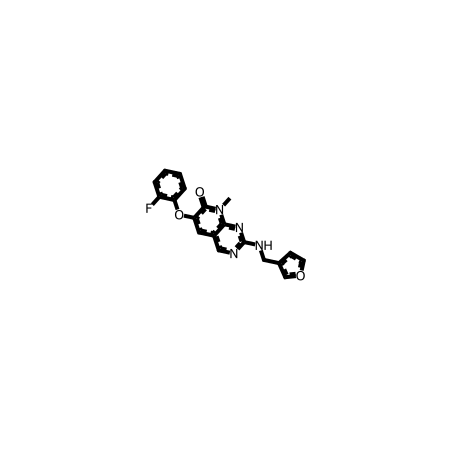 Cn1c(=O)c(Oc2ccccc2F)cc2cnc(NCc3ccoc3)nc21